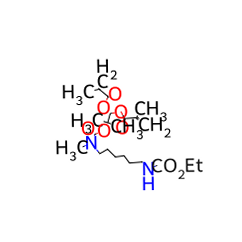 C=C(C)C(=O)OC(OC(=O)C(=C)C)C(C)(C)OC(=O)N(C)CCCCCCNC(=O)OCC